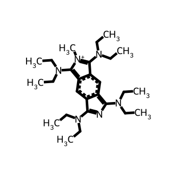 CCN(CC)C1=NC(N(CC)CC)=c2cc3c(cc21)=C(N(CC)CC)[N+](C)=C3N(CC)CC